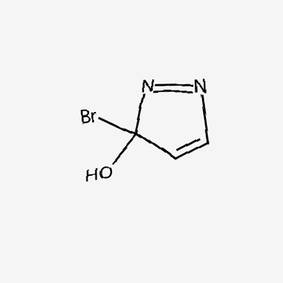 OC1(Br)C=CN=N1